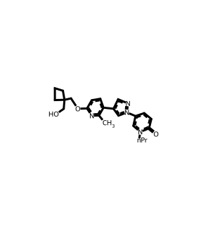 CCCn1cc(-n2cc(-c3ccc(OCC4(CO)CCC4)nc3C)cn2)ccc1=O